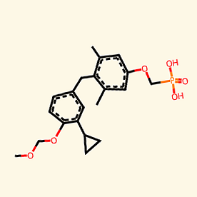 COCOc1ccc(Cc2c(C)cc(OCP(=O)(O)O)cc2C)cc1C1CC1